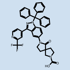 O=C(O)N1CCC2(CCN(c3ccc4c(c3)c(-c3ccnc(C(F)(F)F)c3)nn4C(c3ccccc3)(c3ccccc3)c3ccccc3)C2=O)C1